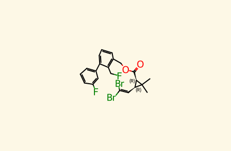 CC1(C)[C@H](C(=O)OCc2cccc(-c3cccc(F)c3)c2CF)[C@@H]1C=C(Br)Br